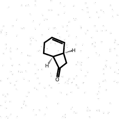 O=C1C[C@@H]2C=CCC[C@H]12